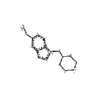 NCc1ccc2c([c]cn2CC2CCOCC2)c1